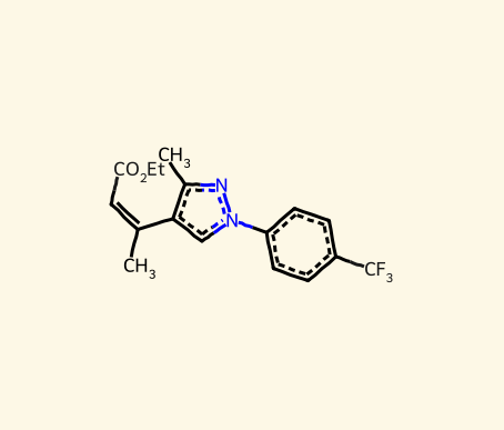 CCOC(=O)/C=C(/C)c1cn(-c2ccc(C(F)(F)F)cc2)nc1C